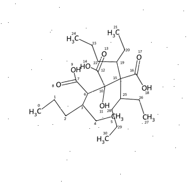 CCCC(CC)C(C(=O)O)C(O)(C(=O)O)C(C(=O)O)(C(CC)CCC)C(CC)CCC